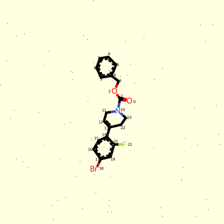 O=C(OCc1ccccc1)N1CC=C(c2ccc(Br)cc2F)CC1